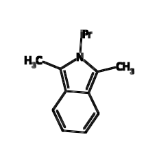 Cc1c2ccccc2c(C)n1C(C)C